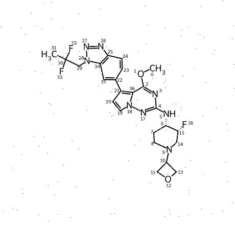 COc1nc(N[C@H]2CCN(C3COC3)C[C@H]2F)nn2ccc(-c3ccc4nnn(CC(C)(F)F)c4c3)c12